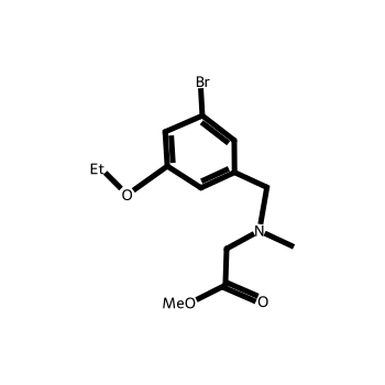 CCOc1cc(Br)cc(CN(C)CC(=O)OC)c1